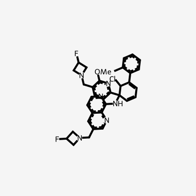 COc1nc(C2(Nc3nccc4cc(CN5CC(F)C5)cnc34)C=CC=C(c3ccccc3C)C2Cl)ccc1CN1CC(F)C1